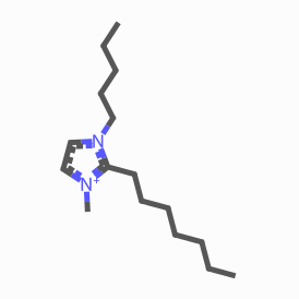 CCCCCCCc1n(CCCCC)cc[n+]1C